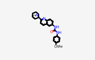 COc1ccc(NC(=O)Nc2ccc3nc(N4CC5CCC4CC5)ccc3c2)cc1